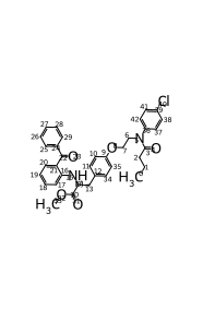 CCCC(=O)N(CCOc1ccc(C[C@H](Nc2ccccc2C(=O)c2ccccc2)C(=O)OC)cc1)c1ccc(Cl)cc1